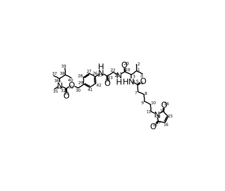 CC(C)C(NC(=O)CCCCCN1C(=O)C=CC1=O)C(=O)NCC(=O)Nc1ccc(COC(=O)N(C)C(C)C(C)C)cc1